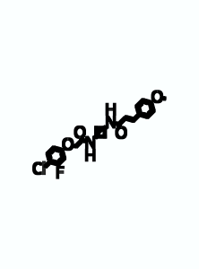 COc1ccc(/C=C/C(=O)NC23CC(NC(=O)COc4ccc(Cl)c(F)c4)(C2)C3)cc1